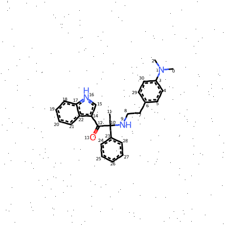 CN(C)c1ccc(CCNC(C)(C(=O)c2c[nH]c3ccccc23)c2ccccc2)cc1